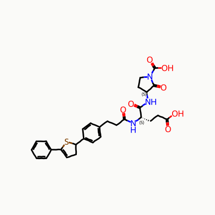 O=C(O)CC[C@H](NC(=O)CCc1ccc(C2CC=C(c3ccccc3)S2)cc1)C(=O)N[C@H]1CCN(C(=O)O)C1=O